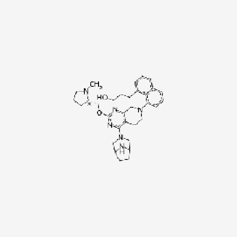 CN1CCC[C@H]1COc1nc2c(c(N3CC4CCC(C3)N4)n1)CCN(c1cccc3cccc(CCCO)c13)C2